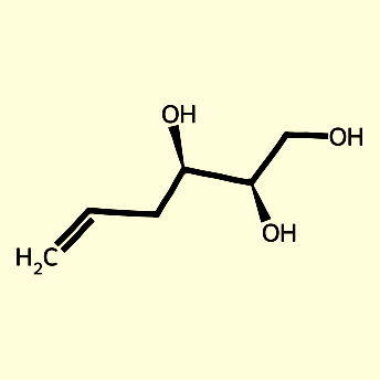 C=CC[C@@H](O)[C@H](O)CO